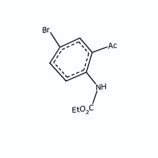 CCOC(=O)Nc1ccc(Br)cc1C(C)=O